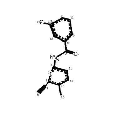 C#Cc1cc(NC(=O)c2cccc(F)c2)ccc1C